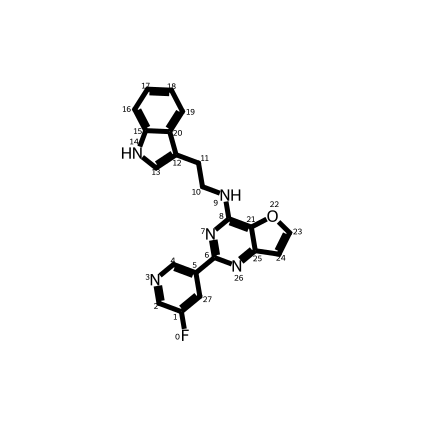 Fc1cncc(-c2nc(NCCc3c[nH]c4ccccc34)c3occc3n2)c1